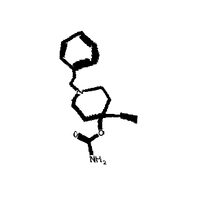 C#CC1(OC(N)=O)CCN(Cc2ccccc2)CC1